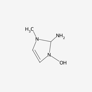 CN1C=CN(O)C1N